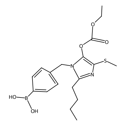 CCCCc1nc(SC)c(OC(=O)OCC)n1Cc1ccc(B(O)O)cc1